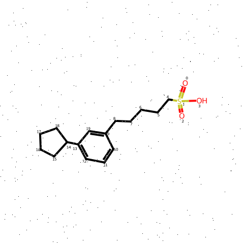 O=S(=O)(O)CCCCCc1cccc(C2CCCC2)c1